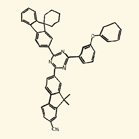 CC1(C)c2cc(C#N)ccc2-c2ccc(-c3nc(-c4cccc(OC5=CC=CCC5)c4)nc(-c4ccc5c(c4)C4(CCCCC4)c4ccccc4-5)n3)cc21